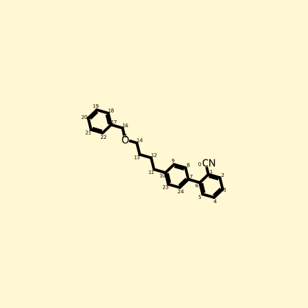 N#Cc1ccccc1-c1ccc(CCCCOCc2ccccc2)cc1